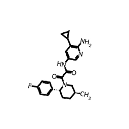 C[C@H]1CC[C@H](c2ccc(F)cc2)N(C(=O)C(=O)Nc2cnc(N)c(C3CC3)c2)C1